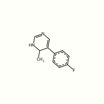 CC1NC=NC=C1c1ccc(F)cc1